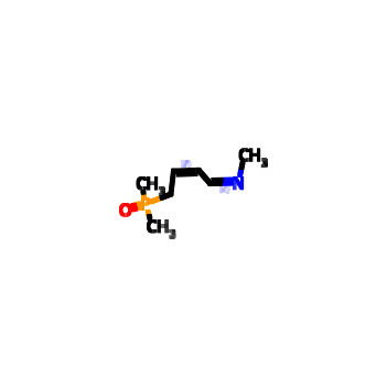 C/N=C\C=C/CP(C)(C)=O